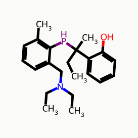 CCN(CC)Cc1cccc(C)c1PC(C)(CC)c1ccccc1O